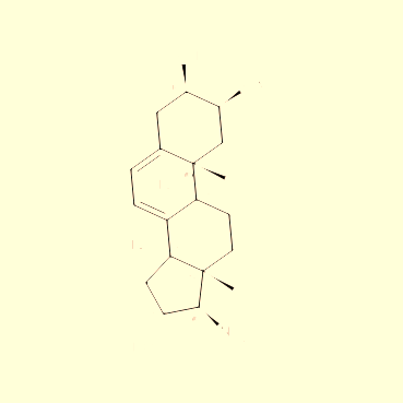 CC(=O)O[C@H]1C[C@@]2(C)C(=CC=C3[C@@H]4C[C@@H](O)[C@H](N)[C@@]4(C)CC[C@@H]32)C[C@H]1O